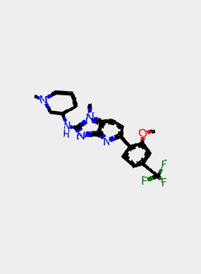 COc1cc(C(F)(F)F)ccc1-c1ccc2c(n1)nc(NC1CCCN(C)C1)n2C